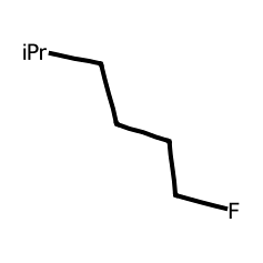 CC(C)CCCCF